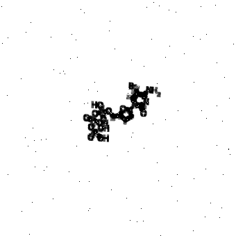 Nc1nc(=O)n([C@H]2CCC(COP(=O)(O)OP(=O)(O)OP(=O)(O)O)O2)cc1Br